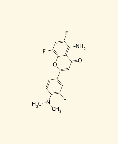 CN(C)c1ccc(-c2cc(=O)c3c(N)c(F)cc(F)c3o2)cc1F